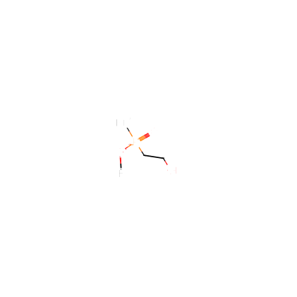 CCOP(=O)(CC)CCO